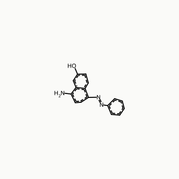 Nc1ccc(N=Nc2ccccc2)c2ccc(O)cc12